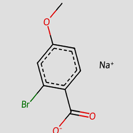 COc1ccc(C(=O)[O-])c(Br)c1.[Na+]